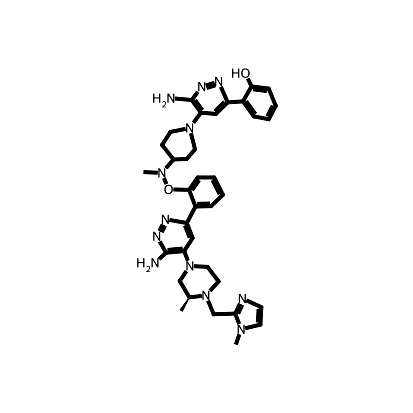 C[C@H]1CN(c2cc(-c3ccccc3ON(C)C3CCN(c4cc(-c5ccccc5O)nnc4N)CC3)nnc2N)CCN1Cc1nccn1C